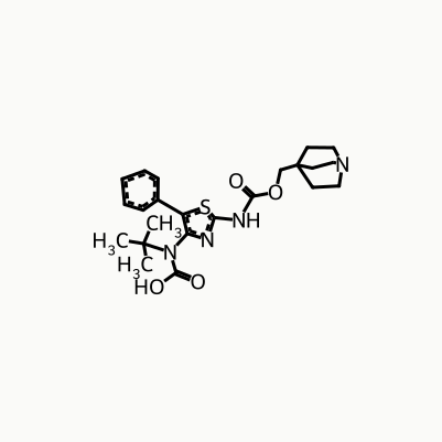 CC(C)(C)N(C(=O)O)c1nc(NC(=O)OCC23CCN(CC2)CC3)sc1-c1ccccc1